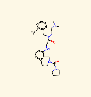 CN(C)CCN(Cc1ccccc1C(F)(F)F)C(=O)CNc1cccc2c1CN(C(=O)N1CCCC1)CC2